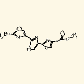 Bc1nc(-c2nc(-c3nc(C(=O)OC)co3)co2)co1